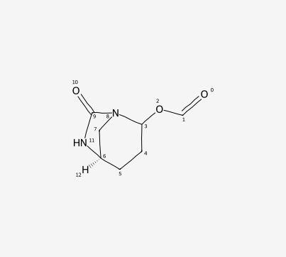 O=COC1CC[C@@H]2CN1C(=O)N2